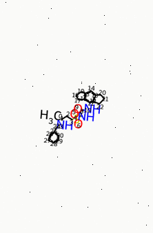 CC(CCS(=O)(=O)NC(=O)Nc1c2c(cc3c1CCC3)CCC2)NCc1ccccc1